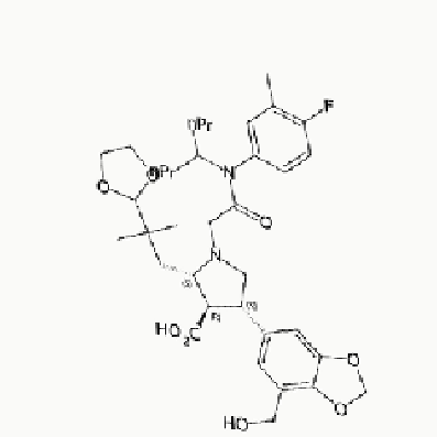 CCCC(CCC)N(C(=O)CN1C[C@H](c2cc(CO)c3c(c2)OCO3)[C@@H](C(=O)O)[C@@H]1CC(C)(C)C1OCCO1)c1ccc(F)c(C)c1